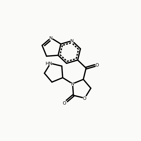 O=C(c1cnc2c(c1)CC=N2)C1COC(=O)N1C1CCNC1